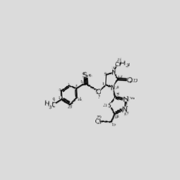 Cc1ccc(C(=S)OC2CN(C)C(=O)N2c2nnc(CCl)s2)cc1